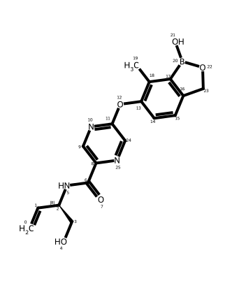 C=C[C@H](CO)NC(=O)c1cnc(Oc2ccc3c(c2C)B(O)OC3)cn1